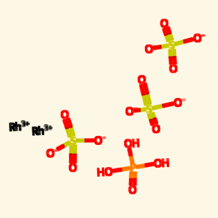 O=P(O)(O)O.O=S(=O)([O-])[O-].O=S(=O)([O-])[O-].O=S(=O)([O-])[O-].[Rh+3].[Rh+3]